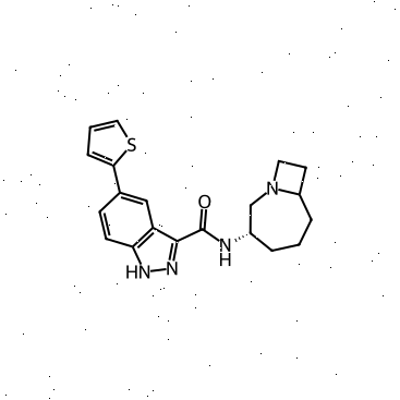 O=C(N[C@H]1CCCC2CCN2C1)c1n[nH]c2ccc(-c3cccs3)cc12